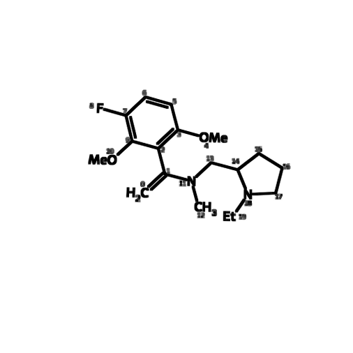 C=C(c1c(OC)ccc(F)c1OC)N(C)CC1CCCN1CC